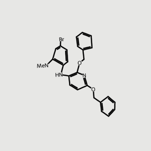 CNc1cc(Br)ccc1Nc1ccc(OCc2ccccc2)nc1OCc1ccccc1